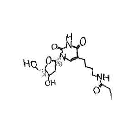 O=C(CI)NCCCCc1cn([C@@H]2CC(O)[C@H](CO)O2)c(=O)[nH]c1=O